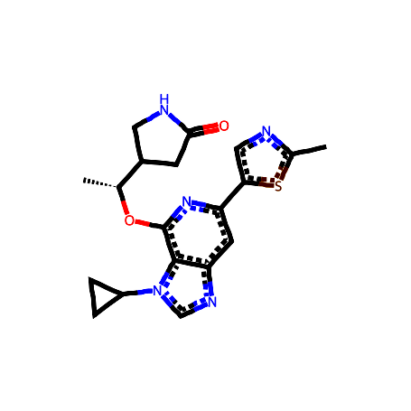 Cc1ncc(-c2cc3ncn(C4CC4)c3c(O[C@H](C)C3CNC(=O)C3)n2)s1